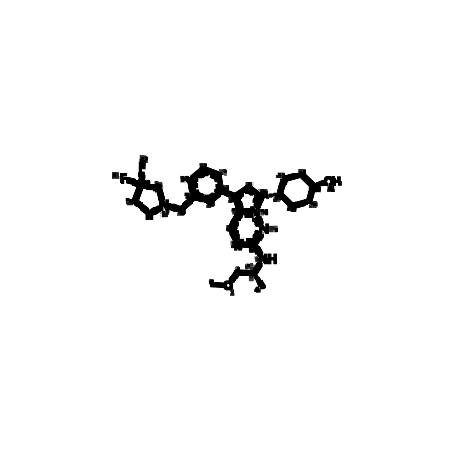 COC[C@H](C)Nc1ncc2c(-c3cccc(CN4CCC(F)(F)C4)c3)cc([C@H]3CC[C@H](O)CC3)n2n1